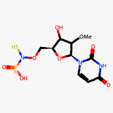 COC1C(O)[C@H](CON(S)[PH](=O)O)O[C@@H]1n1ccc(=O)[nH]c1=O